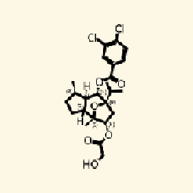 CC(C)[C@@]12C[C@@H](OC(=O)CO)[C@@](C)(O1)[C@@H]1CC[C@@H](C)[C@H]1[C@@H]2OC(=O)c1ccc(Cl)c(Cl)c1